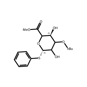 CCCCOC1C(O)[C@H](Sc2ccccc2)OC(C(=O)OC)[C@H]1O